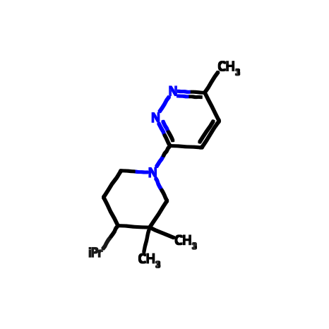 Cc1ccc(N2CCC(C(C)C)C(C)(C)C2)nn1